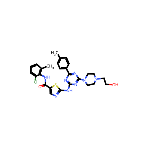 Cc1ccc(-c2nc(Nc3ncc(C(=O)Nc4c(C)cccc4Cl)s3)nc(N3CCN(CCO)CC3)n2)cc1